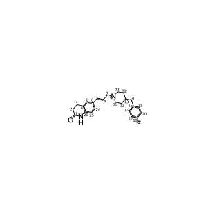 O=C1CCc2cc(C=CCN3CCC(Cc4ccc(F)cc4)CC3)ccc2N1